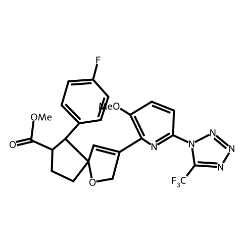 COC(=O)C1CCC2(C=C(c3nc(-n4nnnc4C(F)(F)F)ccc3OC)CO2)C1c1ccc(F)cc1